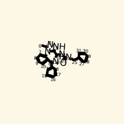 Cc1nnc2n1-c1ccccc1C(c1ccccc1)=NC2NC(=O)NCc1ccccc1